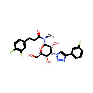 CN(C(=O)CCc1ccc(F)c(F)c1)[C@@H]1O[C@H](CO)[C@H](O)[C@H](n2cc(-c3cccc(F)c3)nn2)[C@H]1O